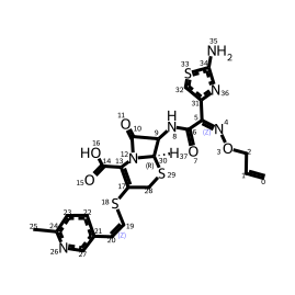 C=CCO/N=C(\C(=O)NC1C(=O)N2C(C(=O)O)=C(S/C=C\c3ccc(C)nc3)CS[C@H]12)c1csc(N)n1